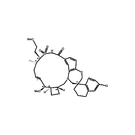 COCC[C@@H]1[C@@H](C)C/C=C/[C@H](OC)[C@@H]2CC[C@H]2CN2C[C@@]3(CCCc4cc(Cl)ccc43)COc3ccc(cc32)C(=O)NS1(=O)=O